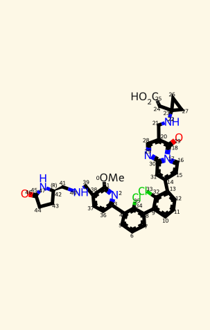 COc1nc(-c2cccc(-c3cccc(-c4ccn5c(=O)c(CNC6(CC(=O)O)CC6)cnc5c4)c3Cl)c2Cl)ccc1CNC[C@H]1CCC(=O)N1